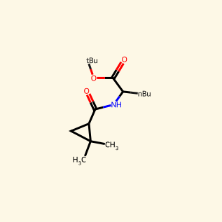 CCCCC(NC(=O)C1CC1(C)C)C(=O)OC(C)(C)C